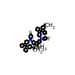 C=CC1=CCC(C2(C3C=CC=CC3)C3=C(C=CCC3)C3C=CC(N(C4=CC=C(F)CC4)C4=CC5c6cc(N(C7=CC8C(C=C7)C7C=CC=CC7C8(C7=CCC(C=C)C=C7)c7ccccc7)c7ccc(F)cc7)ccc6[Si](C)(C)C5CC4)=CC32)C=C1